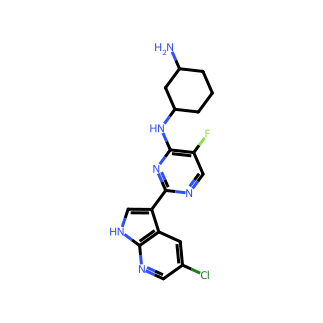 NC1CCCC(Nc2nc(-c3c[nH]c4ncc(Cl)cc34)ncc2F)C1